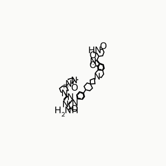 CN1CCN([C@@H]2CCCN(c3cnc(C(N)=O)c(Nc4ccc(C5CCC6(CC5)CC(N5CCc7ccc8c(C9CCC(=O)NC9=O)noc8c7C5)C6)cc4)n3)C2)C1=O